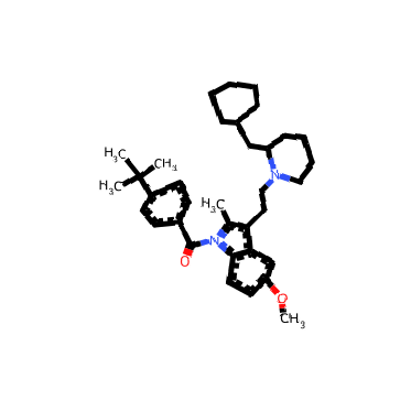 COc1ccc2c(c1)c(CCN1CCCCC1CC1CCCCC1)c(C)n2C(=O)c1ccc(C(C)(C)C)cc1